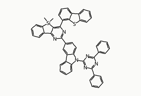 C[Si]1(C)c2ccccc2-c2nc(-c3ccc4c(c3)c3ccccc3n4-c3nc(-c4ccccc4)nc(-c4ccccc4)n3)nc(-c3cccc4c3sc3ccccc34)c21